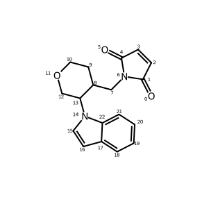 O=C1C=CC(=O)N1CC1CCOCC1n1ccc2ccccc21